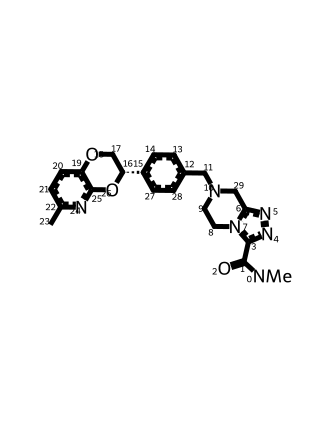 CNC(=O)c1nnc2n1CCN(Cc1ccc([C@H]3COc4ccc(C)nc4O3)cc1)C2